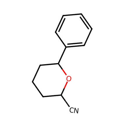 N#CC1CCCC(c2ccccc2)O1